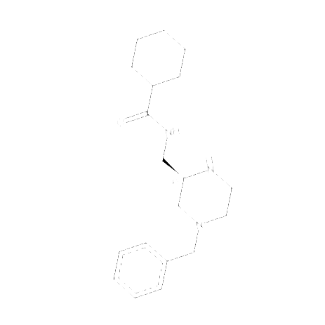 O=C(NC[C@@H]1CN(Cc2ccccc2)CCN1)C1CCCCC1